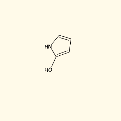 Oc1ccc[nH]1